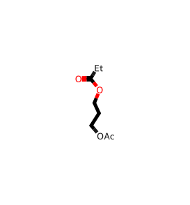 CCC(=O)OCCCOC(C)=O